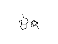 CCCC(c1ccc(C)o1)C1CCCC1=O